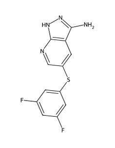 Nc1n[nH]c2ncc(Sc3cc(F)cc(F)c3)cc12